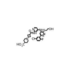 O=C(O)C1CCN(C2CC(C(=O)Nc3cc(Nc4cc(-c5cc(Cl)ccc5F)nnc4SCCO)ccn3)C2)CC1